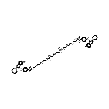 O=C(NCCCCNC(=O)NCCOCCOCCNS(=O)(=O)c1ccc(O[C@H]2c3cc(F)ccc3C[C@@H]2N2CCCCC2)cc1)NCCOCCOCCNS(=O)(=O)c1ccc(O[C@H]2c3cc(F)ccc3CC2N2CCCCC2)cc1